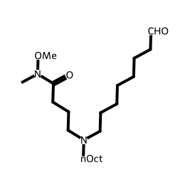 CCCCCCCCN(CCCCCCCC=O)CCCC(=O)N(C)OC